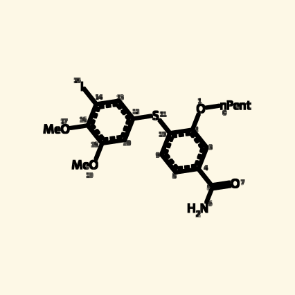 CCCCCOc1cc(C(N)=O)ccc1Sc1cc(I)c(OC)c(OC)c1